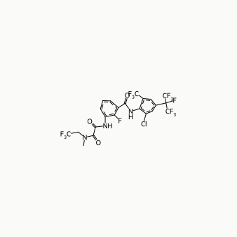 CN(CC(F)(F)F)C(=O)C(=O)Nc1cccc(C(=O)Nc2c(Cl)cc(C(F)(C(F)(F)F)C(F)(F)F)cc2C(F)(F)F)c1F